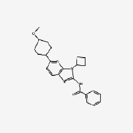 COC1CCC(c2ccc3nc(NC(=O)c4ccccc4)n(C4CCC4)c3n2)CC1